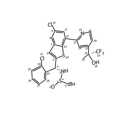 CC(C)(C)[S+]([O-])N[C@@H](c1cc2cc(Cl)cc(-c3cc([C@](C)(O)C(F)(F)F)ccn3)c2s1)c1ccccc1Cl